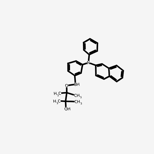 CC(C)(O)C(C)(C)OBc1cccc(N(c2ccccc2)c2ccc3ccccc3c2)c1